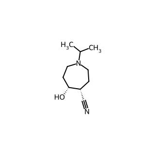 CC(C)N1CC[C@@H](O)[C@@H](C#N)CC1